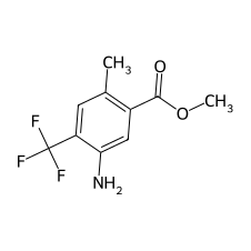 COC(=O)c1cc(N)c(C(F)(F)F)cc1C